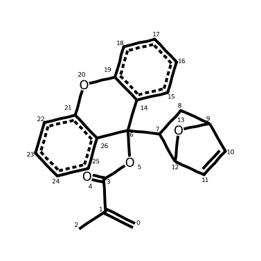 C=C(C)C(=O)OC1(C2CC3C=CC2O3)c2ccccc2Oc2ccccc21